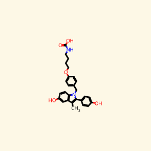 Cc1c(-c2ccc(O)cc2)n(Cc2ccc(OCCCCNC(=O)O)cc2)c2ccc(O)cc12